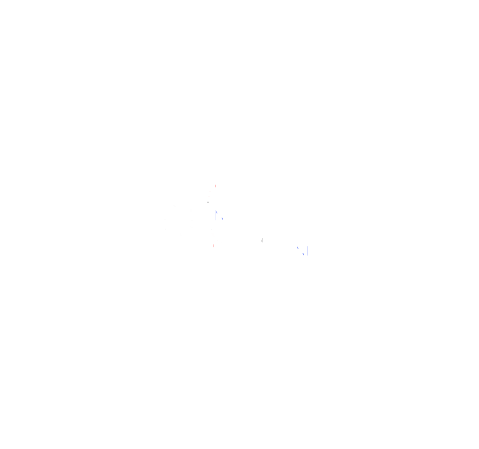 O=C1c2ccccc2C(=O)N1CCC[C@H]1CCCNC1